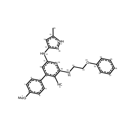 [C-]#[N+]c1c(-c2ccc(OC)cc2)cc(Nc2cc(C)[nH]n2)nc1NCCOc1ccccc1